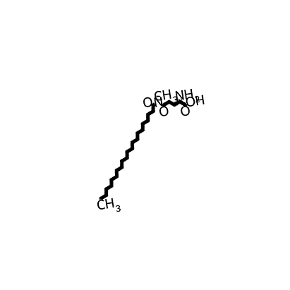 CCCCCCCCCCCCCCCCCCCCCC(=O)N(C)C(=O)CC[C@@H](N)C(=O)O